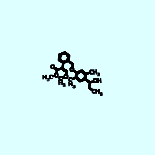 CCC(O)c1cc(C)c(OCc2ccccc2C(=COC)C(=O)OC)cc1C